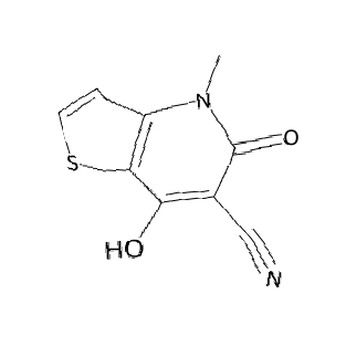 Cn1c(=O)c(C#N)c(O)c2sccc21